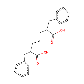 O=C(O)C(CCCC(Cc1ccccc1)C(=O)O)Cc1ccccc1